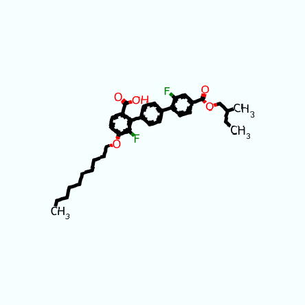 CCCCCCCCCCOc1ccc(C(=O)O)c(-c2ccc(-c3ccc(C(=O)OCC(C)CC)cc3F)cc2)c1F